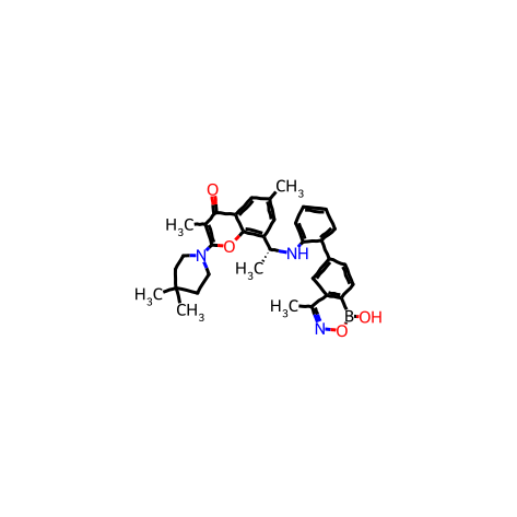 CC1=NOB(O)c2ccc(-c3ccccc3N[C@H](C)c3cc(C)cc4c(=O)c(C)c(N5CCC(C)(C)CC5)oc34)cc21